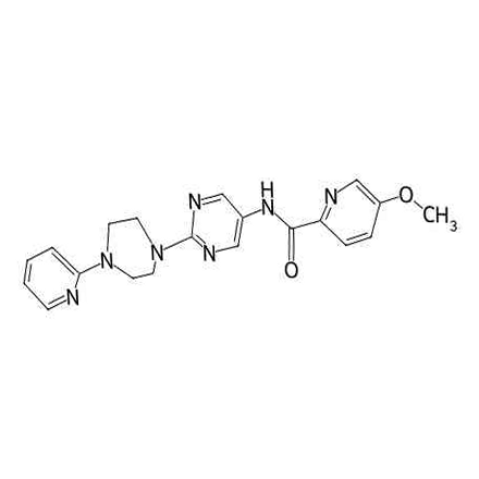 COc1ccc(C(=O)Nc2cnc(N3CCN(c4ccccn4)CC3)nc2)nc1